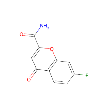 NC(=O)c1cc(=O)c2ccc(F)cc2o1